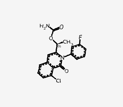 C[C@H](OC(N)=O)c1cc2cccc(Cl)c2c(=O)n1-c1cccc(F)c1